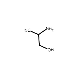 N#CC(N)CO